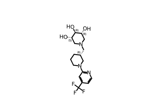 O[C@H]1[C@H](O)CN(C[C@H]2CCCN(c3cc(C(F)(F)F)ccn3)C2)C[C@@H]1O